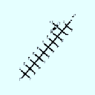 O=S(=O)([O-])C(F)(C(F)(F)F)C(F)(F)C(F)(F)C(F)(F)C(F)(F)C(F)(F)C(F)(F)C(F)(F)C(F)(F)F.[Li+]